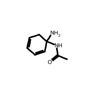 CC(=O)NC1(N)C=CC=CC1